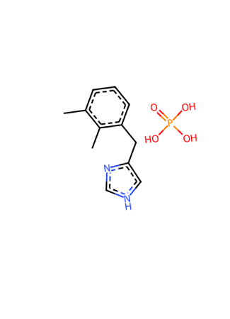 Cc1cccc(Cc2c[nH]cn2)c1C.O=P(O)(O)O